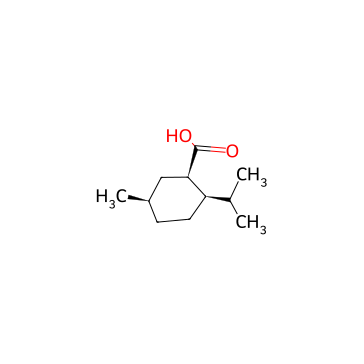 CC(C)[C@H]1CC[C@@H](C)C[C@H]1C(=O)O